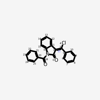 O=C1/C(=C(/Cl)c2ccccc2)c2ccccc2N1C(=O)c1ccccc1